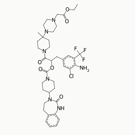 CCOC(=O)CN1CCN(C2(C)CCN(C(=O)C(Cc3cc(Cl)c(N)c(C(F)(F)F)c3)OC(=O)N3CCC(N4CCc5ccccc5NC4=O)CC3)CC2)CC1